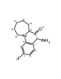 NCc1ccc(F)cc1N1CCCCCC1C=O